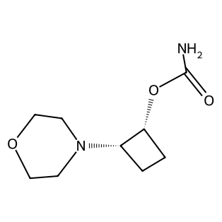 NC(=O)O[C@@H]1CC[C@@H]1N1CCOCC1